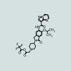 CC(C)Oc1cc2c(cc1NC(=O)c1cnn3cccnc13)CN(C1CCN(CC(=O)OC(=O)C(F)(F)F)CC1)C2=O